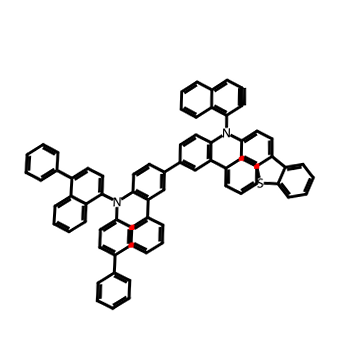 c1cc2ccccc2c(N(c2ccc3c(c2)sc2ccccc23)c2ccc(-c3ccc(N(c4ccc(-c5ccccc5)cc4)c4ccc(-c5ccccc5)c5ccccc45)c(-c4ccccc4)c3)cc2C2=CC=CCC2)c#1